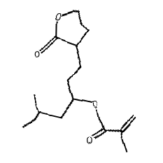 C=C(C)C(=O)OC(CCC1CCOC1=O)CC(C)C